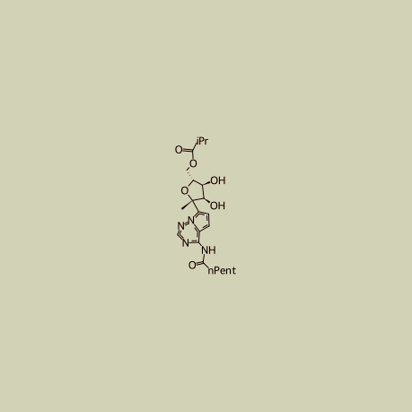 CCCCCC(=O)Nc1ncnn2c([C@]3(C)O[C@H](COC(=O)C(C)C)[C@@H](O)[C@H]3O)ccc12